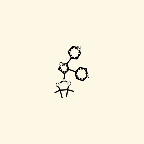 CC1(C)OB(c2coc(-c3ccncc3)c2-c2ccncc2)OC1(C)C